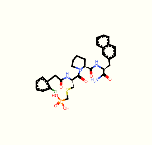 NC(=O)[C@H](Cc1ccc2ccccc2c1)NC(=O)[C@@H]1CCCCN1C(=O)[C@H](CSCP(=O)(O)O)NC(=O)Cc1ccccc1Cl